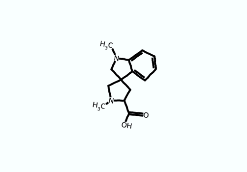 CN1CC2(CC(C(=O)O)N(C)C2)c2ccccc21